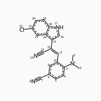 CN(C)c1ccc(C#N)cc1C=C(C#N)c1c[nH]c2ccc(Cl)cc12